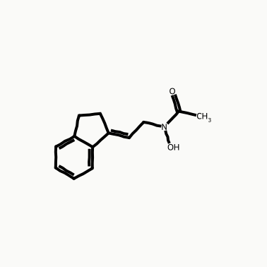 CC(=O)N(O)CC=C1CCc2ccccc21